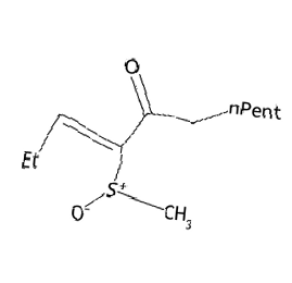 CC/C=C(/C(=O)CCCCCC)[S+](C)[O-]